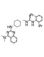 CC(C)c1cccc(C(C)C)c1NC(=S)NC[C@H]1CC[C@@H](Nc2nc(N(C)C)c3ccccc3n2)CC1